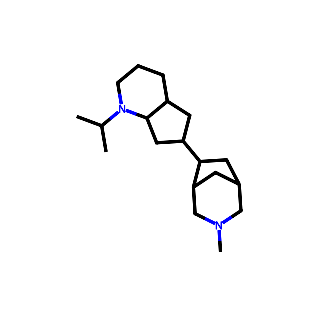 CC(C)N1CCCC2CC(C3CC4CC3CN(C)C4)CC21